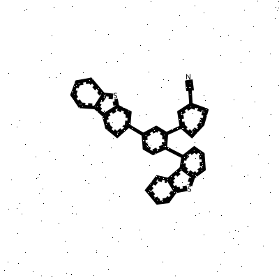 N#Cc1cccc(-c2cc(-c3ccc4c(c3)sc3ccccc34)ccc2-c2cccc3sc4ccccc4c23)c1